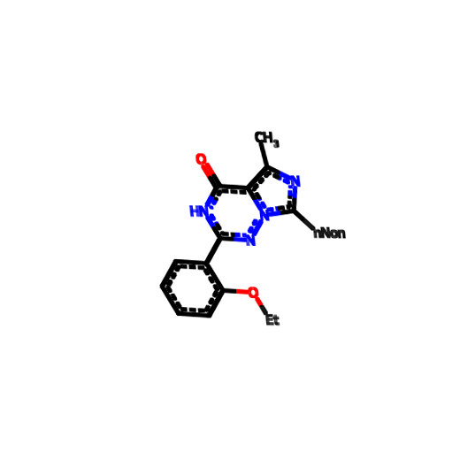 CCCCCCCCCc1nc(C)c2c(=O)[nH]c(-c3ccccc3OCC)nn12